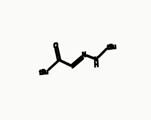 CC(C)(C)NN=CC(=O)C(C)(C)C